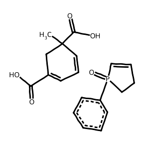 CC1(C(=O)O)C=CC=C(C(=O)O)C1.O=P1(c2ccccc2)C=CCC1